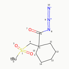 CC(C)(C)S(=O)(=O)CC1(C(=O)N=[N+]=[N-])CCCCC1